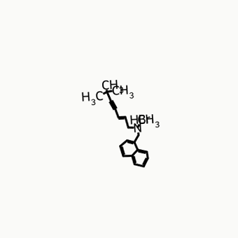 Br.CN(C/C=C/C#CC(C)(C)C)Cc1cccc2ccccc12